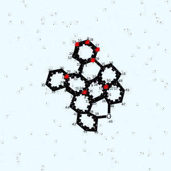 c1ccc(-c2ccccc2-c2ccccc2-c2ccccc2N(c2ccccc2)c2ccccc2-c2cc3c4c(cccc4c2)Oc2ccccc2-3)cc1